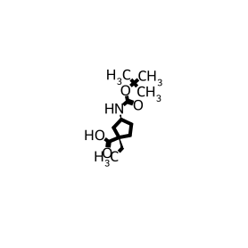 CC[C@]1(C(=O)O)CC[C@@H](NC(=O)OC(C)(C)C)C1